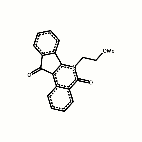 COCCn1c2c(c3ccccc3c1=O)C(=O)c1ccccc1-2